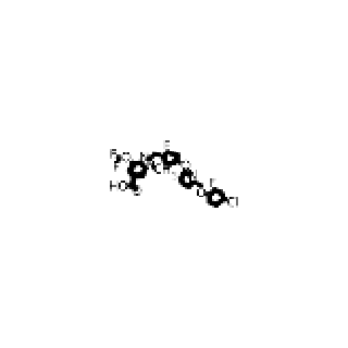 Cn1c(Cc2ccc(Oc3cccc(COc4ccc(Cl)cc4F)n3)cc2F)nc2c(OC(F)F)cc(C(=O)O)cc21